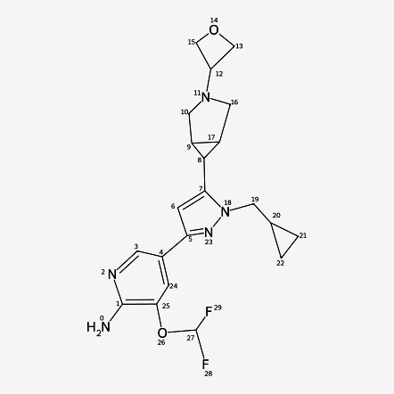 Nc1ncc(-c2cc(C3C4CN(C5COC5)CC43)n(CC3CC3)n2)cc1OC(F)F